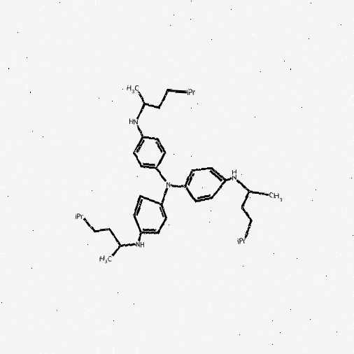 CC(C)CCC(C)Nc1ccc(N(c2ccc(NC(C)CCC(C)C)cc2)c2ccc(NC(C)CCC(C)C)cc2)cc1